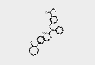 NC(=O)c1cccc(OC(C(=O)Nc2ccc(N3CCCCCC3=O)cc2F)c2ccccc2)c1